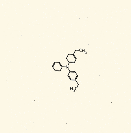 CCC1=CC=C(N(c2ccccc2)c2ccc(CC)cc2)CC1